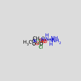 Cc1cc(C)c2cccc(OCc3c(Cl)ccc(S(=O)(=O)N4CCC[C@H]4C(=O)NCCNC(=N)N)c3Cl)c2n1